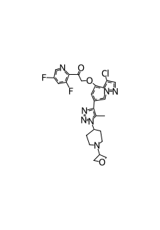 Cc1c(-c2cc(OCC(=O)c3ncc(F)cc3F)c3c(Cl)cnn3c2)nnn1C1CCN(C2COC2)CC1